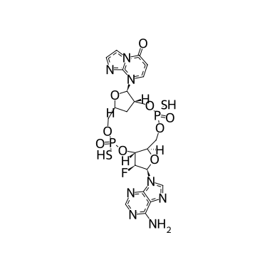 Nc1ncnc2c1ncn2[C@@H]1O[C@@H]2CO[P@@](=O)(S)O[C@@H]3C[C@@H](CO[P@@](=O)(S)O[C@H]2[C@@H]1F)O[C@H]3n1ccc(=O)n2ccnc12